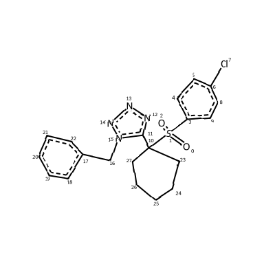 O=S(=O)(c1ccc(Cl)cc1)C1(c2nnnn2Cc2ccccc2)CCCCC1